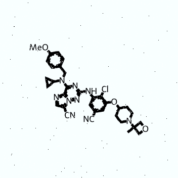 COc1ccc(CN(c2nc(Nc3cc(C#N)cc(OC4CCN(C5(C)COC5)CC4)c3Cl)nn3c(C#N)cnc23)C2CC2)cc1